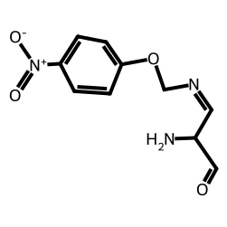 NC(C=O)/C=N\COc1ccc([N+](=O)[O-])cc1